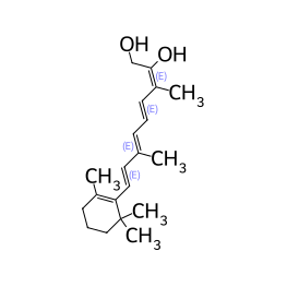 CC1=C(/C=C/C(C)=C/C=C/C(C)=C(/O)CO)C(C)(C)CCC1